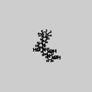 CC1(C)CCC(C)(C)c2cc(-c3ccc(O)c(N4CCC(N5CCCC(O)C5)C(O)C4)n3)ccc21